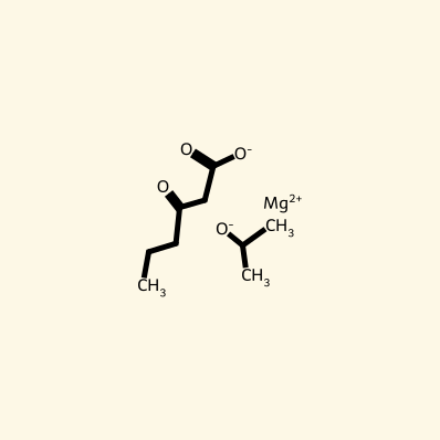 CC(C)[O-].CCCC(=O)CC(=O)[O-].[Mg+2]